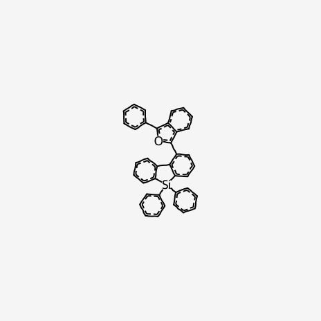 c1ccc(-c2oc(-c3cccc4c3-c3ccccc3[Si]4(c3ccccc3)c3ccccc3)c3ccccc23)cc1